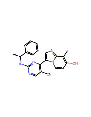 Cc1c(O)ccn2c(-c3nc(N[C@@H](C)c4ccccc4)ncc3C#N)cnc12